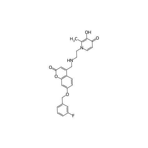 Cc1c(O)c(=O)ccn1CCNCc1cc(=O)oc2cc(OCc3cccc(F)c3)ccc12